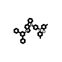 Cc1ccc2c(c1)Oc1cc(C)ccc1N2c1ccc(-n2c3ccccc3c3ccc4c(ccn4-c4cc(-c5ccccc5)cc(-c5ccccc5)c4)c32)cc1